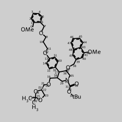 COc1ccccc1COCCCOc1ccc(C2C(COC[C@H]3COC(C)(C)O3)CN(C(=O)OC(C)(C)C)C[C@@H]2OCc2cc(OC)c3ccccc3c2)cc1